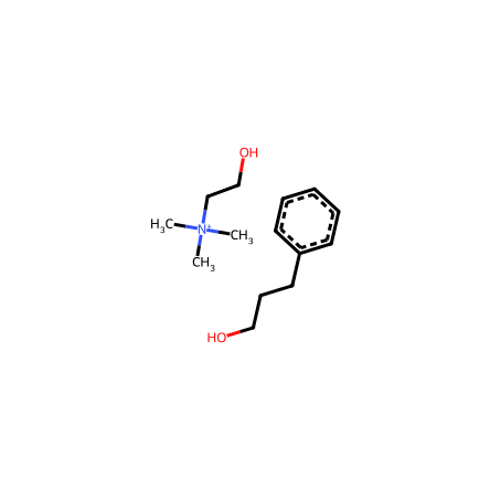 C[N+](C)(C)CCO.OCCCc1ccccc1